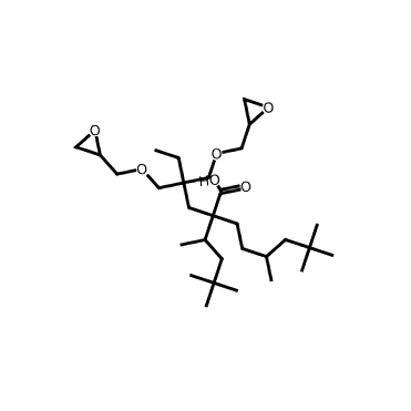 CCC(COCC1CO1)(COCC1CO1)CC(CCC(C)CC(C)(C)C)(C(=O)O)C(C)CC(C)(C)C